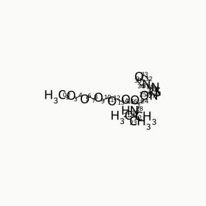 CCOCCOCCOCCOCCOCOC(CNC(C)(C)C)COc1nsnc1N1CCOCC1